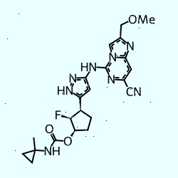 COCc1cn2c(Nc3cc([C@H]4CC[C@@H](OC(=O)NC5(C)CC5)[C@H]4F)[nH]n3)nc(C#N)cc2n1